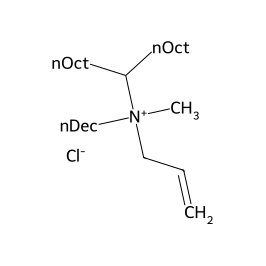 C=CC[N+](C)(CCCCCCCCCC)C(CCCCCCCC)CCCCCCCC.[Cl-]